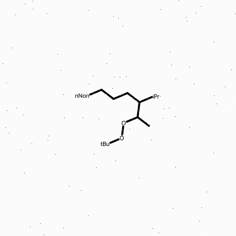 CCCCCCCCCCCCC([C](C)C)C(C)OOC(C)(C)C